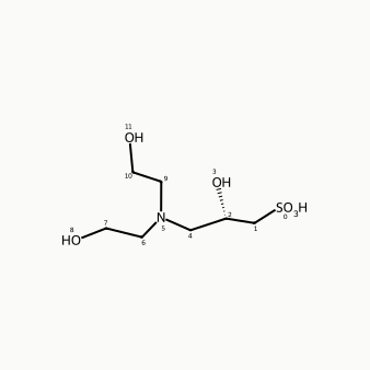 O=S(=O)(O)C[C@@H](O)CN(CCO)CCO